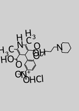 CC1=C(C(=O)O)C(c2cc([N+](=O)[O-])ccc2OCCCCN2CCCCC2)C(C(=O)O)=C(C)N1.Cl